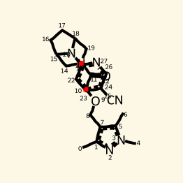 Cc1nn(C)c(C)c1COCC(=O)N1CC2CCC(C1)N2c1ccc(C#N)cn1